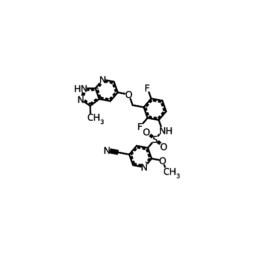 COc1ncc(C#N)cc1S(=O)(=O)Nc1ccc(F)c(COc2cnc3[nH]nc(C)c3c2)c1F